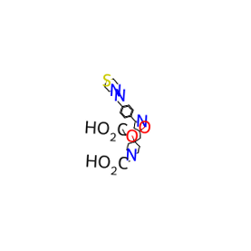 O=C(O)COC1(CC2CC(c3ccc(C=NN4CCSCC4)cc3)=NO2)CCN(CC(=O)O)CC1